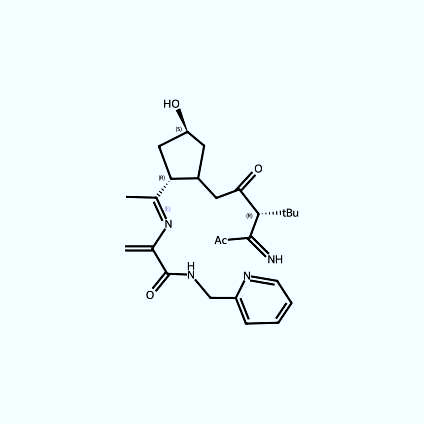 C=C(/N=C(\C)[C@@H]1C[C@@H](O)CC1CC(=O)[C@@H](C(=N)C(C)=O)C(C)(C)C)C(=O)NCc1ccccn1